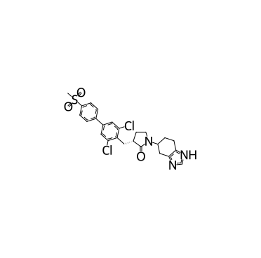 CS(=O)(=O)c1ccc(-c2cc(Cl)c(C[C@@H]3CCN(C4CCc5[nH]cnc5C4)C3=O)c(Cl)c2)cc1